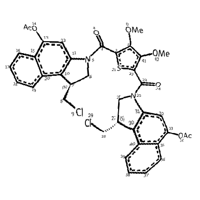 COc1c(C(=O)N2C[C@@H](CCl)c3c2cc(OC(C)=O)c2ccccc32)sc(C(=O)N2C[C@@H](CCl)c3c2cc(OC(C)=O)c2ccccc32)c1OC